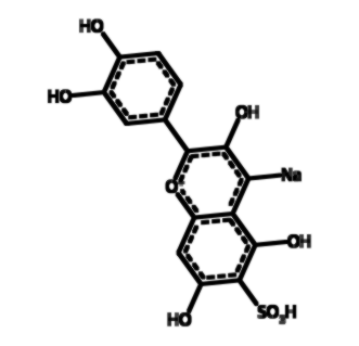 O=S(=O)(O)c1c(O)cc2[o+]c(-c3ccc(O)c(O)c3)c(O)[c]([Na])c2c1O